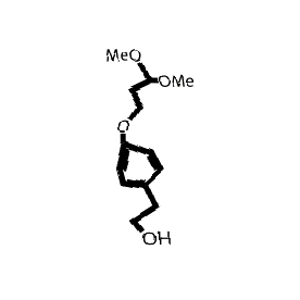 COC(CCOc1ccc(CCO)cc1)OC